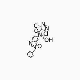 O=C(C1C(Cl)=NC=NC1Cl)N(CCO)c1ccc2ncn(Cc3ccccc3)c(=O)c2c1